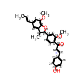 CC=Cc1cc(OC)c2c(c1)C(C)C(c1ccc(C(=O)/C=C/c3ccc(O)cc3)c(OC)c1)O2